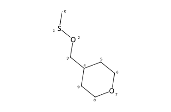 CSOCC1CCOCC1